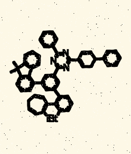 CCC1=C(c2c(CC)cccc2-c2cc(-c3nc(C4=CCC(c5ccccc5)C=C4)nc(-c4ccccc4)n3)cc(-c3cccc4c3-c3ccccc3C4(C)C)c2)C=CCC=C1